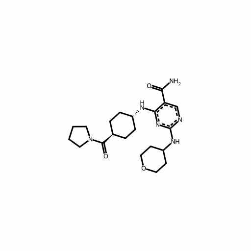 NC(=O)c1cnc(NC2CCOCC2)nc1N[C@H]1CC[C@H](C(=O)N2CCCC2)CC1